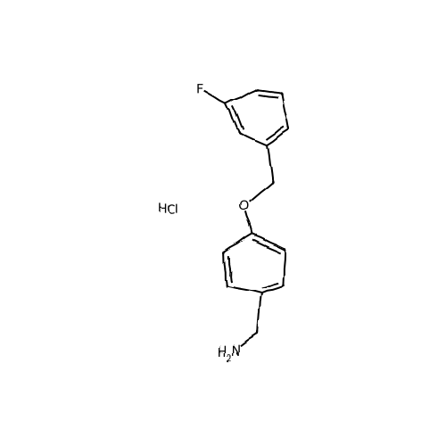 Cl.NCc1ccc(OCc2cccc(F)c2)cc1